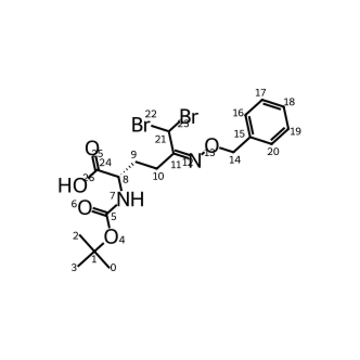 CC(C)(C)OC(=O)N[C@@H](CCC(=NOCc1ccccc1)C(Br)Br)C(=O)O